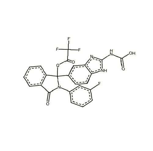 O=C(O)Nc1nc2cc(C3(OC(=O)C(F)(F)F)c4ccccc4C(=O)N3c3cccc(F)c3)ccc2[nH]1